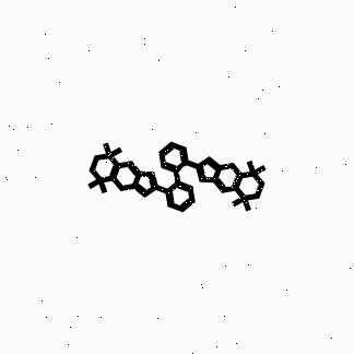 CC1(C)CCC(C)(C)C2=C1C=C1C=C(c3ccccc3-c3ccccc3C3=CC4=CC5=C(CC4=C3)C(C)(C)CCC5(C)C)C=C1C2